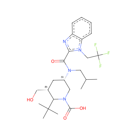 CC(C)CN(C(=O)c1nc2ccccc2n1CC(F)(F)F)[C@H]1C[C@@H](CO)C(C(C)(C)C)N(C(=O)O)C1